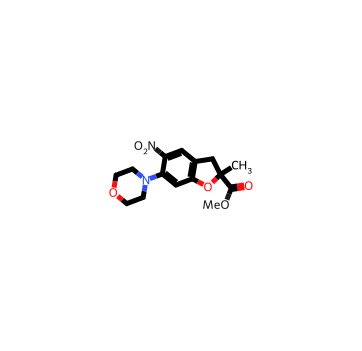 COC(=O)C1(C)Cc2cc([N+](=O)[O-])c(N3CCOCC3)cc2O1